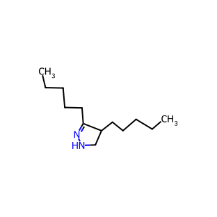 CCCCCC1=NNCC1CCCCC